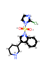 O=S(=O)(n1ccnc1Cl)n1cc(C2CCCNC2)c2ccccc21